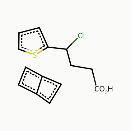 O=C(O)CCC(Cl)c1cccs1.c1cc2ccc1-2